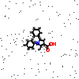 Cc1c(C(=O)O)cc(-c2ccccc2)n1-c1ccccc1